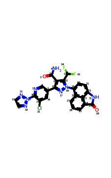 NC(=O)c1c(-c2cnc(-n3nccn3)c(Cl)c2)nn(-c2ccc3c4c(cccc24)C(=O)N3)c1C(F)F